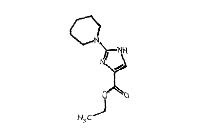 CCOC(=O)c1c[nH]c(N2CCCCC2)n1